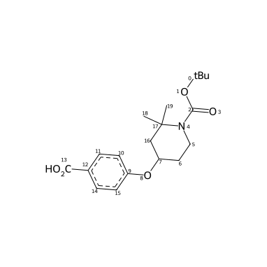 CC(C)(C)OC(=O)N1CCC(Oc2ccc(C(=O)O)cc2)CC1(C)C